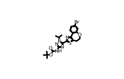 CC(C)n1nc(NC(=O)OC(C)(C)C)nc1-c1nc2c(s1)CCOc1cc(Br)ccc1-2